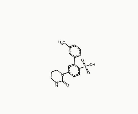 Cc1cccc(-c2cc(N3CCCNC3=O)ccc2S(=O)(=O)O)c1